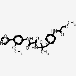 COCC(=O)Nc1ccc(CC(C)(C)NC(=O)C(=O)Nc2ccc(-c3cnco3)c(OC)c2)cc1